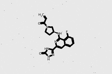 C=CC(=O)N1CC[C@H](Nc2nc(-c3n[nH]c(=O)[nH]3)cc3cccc(F)c23)C1